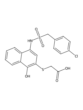 O=C(O)CSc1cc(NS(=O)(=O)Cc2ccc(Cl)cc2)c2ccccc2c1O